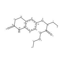 CCOOC(=O)C(CC)Oc1ccc2c(c1)CCC(=O)N2